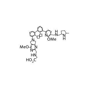 COc1nc(-c2cccc(-c3cccc(N4Cc5nc(CNCC(=O)O)nc(OC)c5C4)c3Cl)c2Cl)ccc1CNCC1CCC(C)N1